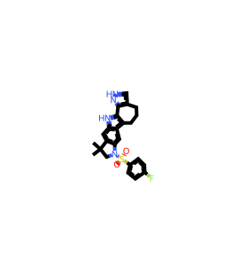 CC1(C)CN(S(=O)(=O)c2ccc(F)cc2)c2cc3c4c([nH]c3cc21)-c1n[nH]cc1CCC4